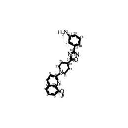 COc1cccc2ccc(N3CCC(c4nc(-c5cccc(N)c5)no4)CC3)nc12